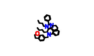 CCCC[C@@H](c1c(-c2ccccc2)nc(-c2ccccc2)n1CCCC)N(Cc1ccc2c(c1)OCC2)CC1CCCCC1